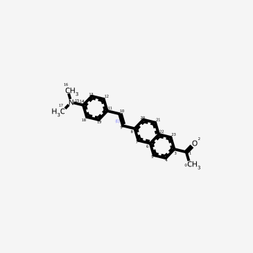 CC(=O)c1ccc2cc(/C=C/c3ccc(N(C)C)cc3)ccc2c1